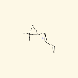 C=C/C=C/C1CC1(C)C